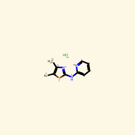 CC(=O)c1sc(Nc2ccccn2)nc1C.Cl